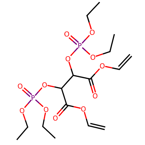 C=COC(=O)C(OP(=O)(OCC)OCC)C(OP(=O)(OCC)OCC)C(=O)OC=C